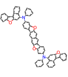 c1ccc(N(c2ccc3c(c2)oc2cc4cc5c(cc4cc23)oc2cc(N(c3ccccc3)c3cc4oc6ccccc6c4c4ccccc34)ccc25)c2cc3oc4ccccc4c3c3ccccc23)cc1